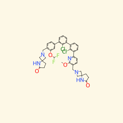 COc1nc(-c2cccc(-c3cccc(-c4ccc(CN5CC6(CCC(=O)N6)C5)c(OC(F)F)c4)c3Cl)c2Cl)ccc1CN1CC2(CCC(=O)N2)C1